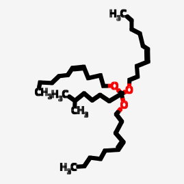 CCCCC/C=C\CCCOC(CCCCC(C)C)(OCCC/C=C\CCCCC)OCCC/C=C\CCCCC